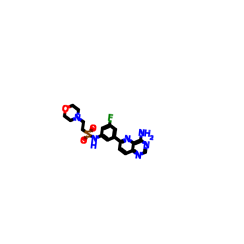 Nc1ncnc2ccc(-c3cc(F)cc(NS(=O)(=O)CCN4CCOCC4)c3)nc12